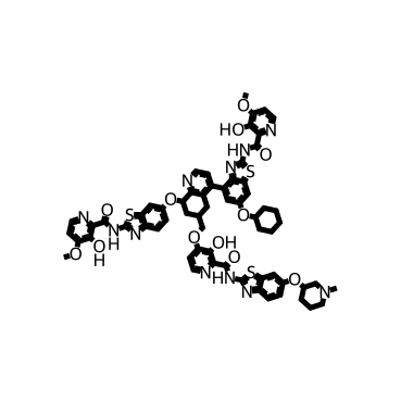 COc1ccnc(C(=O)Nc2nc3ccc(OC4CC(COc5ccnc(C(=O)Nc6nc7ccc(OC8CCCN(C)C8)cc7s6)c5O)Cc5c(-c6cc(OC7CCCCC7)cc7sc(NC(=O)c8nccc(OC)c8O)nc67)ccnc54)cc3s2)c1O